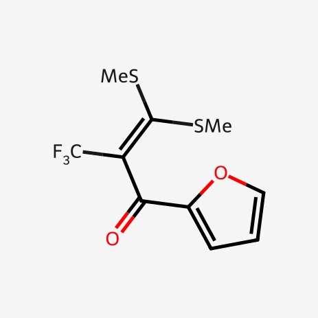 CSC(SC)=C(C(=O)c1ccco1)C(F)(F)F